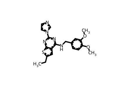 CCc1cc2c(NCc3ccc(OC)c(OC)c3)nc(-n3ccnc3)nc2s1